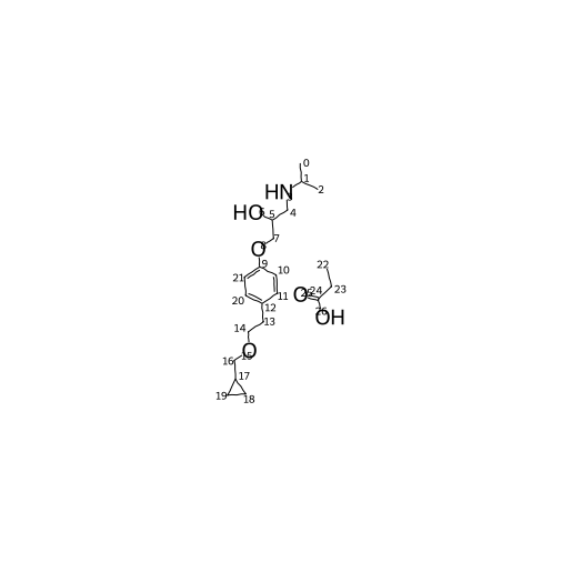 CC(C)NCC(O)COc1ccc(CCOCC2CC2)cc1.CCC(=O)O